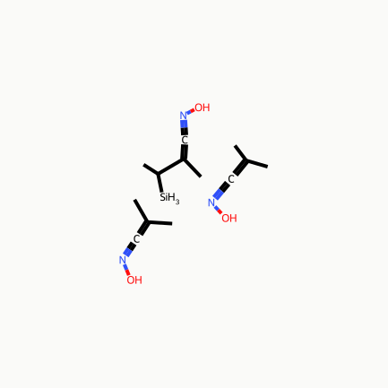 CC(=C=NO)C(C)[SiH3].CC(C)=C=NO.CC(C)=C=NO